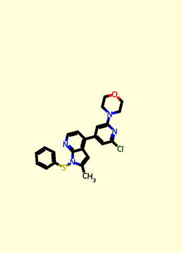 Cc1cc2c(-c3cc(Cl)nc(N4CCOCC4)c3)ccnc2n1Sc1ccccc1